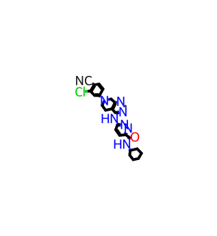 N#Cc1ccc(N2CCc3c(ncnc3Nc3ccc(C(=O)NC4CCCCC4)nn3)C2)cc1Cl